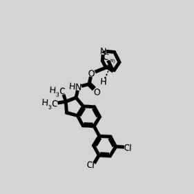 CC1(C)Cc2cc(-c3cc(Cl)cc(Cl)c3)ccc2C1NC(=O)O[C@H]1CN2CCC1CC2